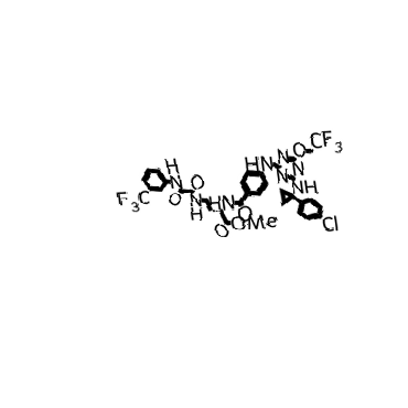 COC(=O)[C@H](CCNC(=O)C(=O)Nc1cccc(C(F)(F)F)c1)NC(=O)c1ccc(Nc2nc(NC3(c4ccc(Cl)cc4)CC3)nc(OCC(F)(F)F)n2)cc1